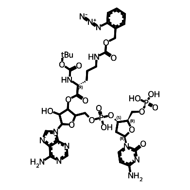 CC(C)(C)OC(=O)N[C@H](CCCNC(=O)OCc1ccccc1N=[N+]=[N-])C(=O)OC1C(COP(=O)(O)O[C@H]2C[C@H](n3ccc(N)nc3=O)O[C@@H]2COP(=O)(O)O)OC(n2cnc3c(N)ncnc32)C1O